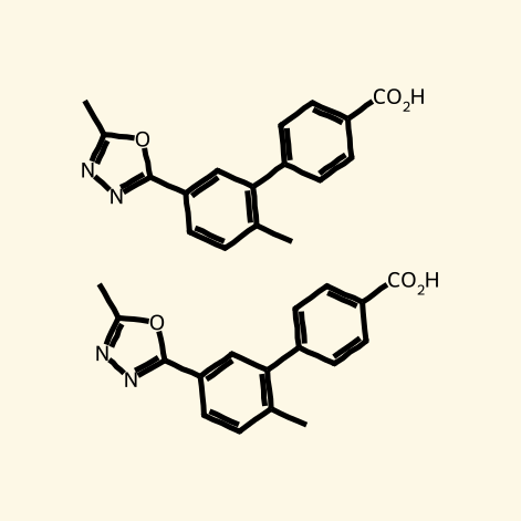 Cc1nnc(-c2ccc(C)c(-c3ccc(C(=O)O)cc3)c2)o1.Cc1nnc(-c2ccc(C)c(-c3ccc(C(=O)O)cc3)c2)o1